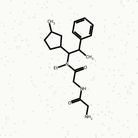 CCN(C(=O)CNC(=O)CN)C(C1CCC(C)C1)C(C)c1ccccc1